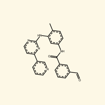 Cc1ccc(NC(=O)c2cccc(C=O)c2)cc1Nc1nccc(-c2cccnc2)n1